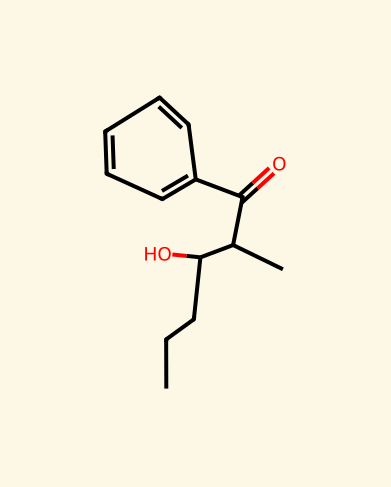 CCCC(O)C(C)C(=O)c1ccccc1